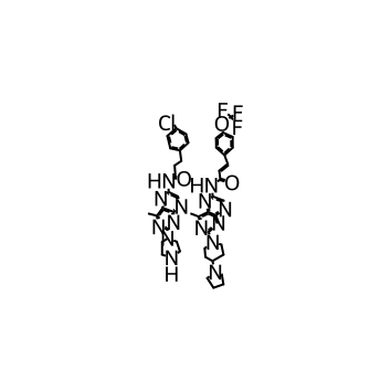 Cc1nc(N2CCC(N3CCCC3)CC2)nc2ncc(NC(=O)/C=C/c3ccc(OC(F)(F)F)cc3)nc12.Cc1nc(N2CCNCC2)nc2ncc(NC(=O)CCc3ccc(Cl)cc3)nc12